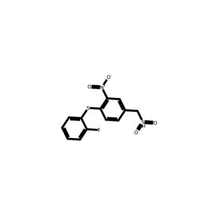 O=[N+]([O-])c1cc(C[SH](=O)=O)ccc1Sc1ccccc1F